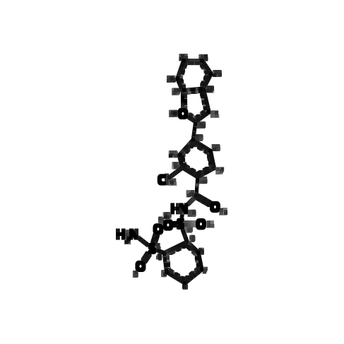 NS(=O)(=O)c1ccccc1S(=O)(=O)NC(=O)c1ccc(-c2cc3ccccc3o2)cc1Cl